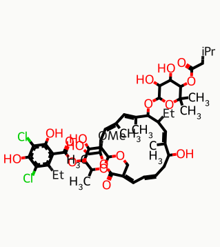 CCc1c(Cl)c(O)c(Cl)c(O)c1C(=O)OC1C(C)OC(OC/C2=C\C=C\CC(O)/C(C)=C/C(CC)C(OC3OC(C)(C)C(OC(=O)CC(C)C)C(O)C3O)/C(C)=C/C(C)=C/CC(C(C)O)OC2=O)C(OC)C1O